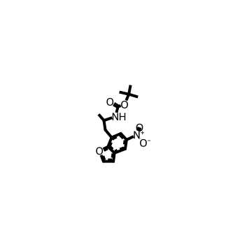 CC(Cc1cc([N+](=O)[O-])cc2ccoc12)NC(=O)OC(C)(C)C